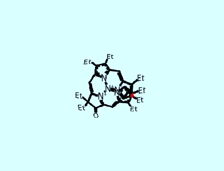 CCC1=C(CC)C2=[N+]3C1=Cc1c(CC)c(CC)c4n1[N+]31n3c(c(CC)c(CC)c3=CC3=[N+]1C(=C4)C(CC)(CC)C3=O)=C2